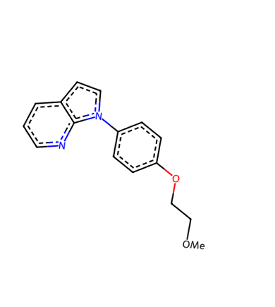 COCCOc1ccc(-n2ccc3cccnc32)cc1